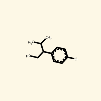 CC(C)C(CO)c1ccc(Cl)cc1